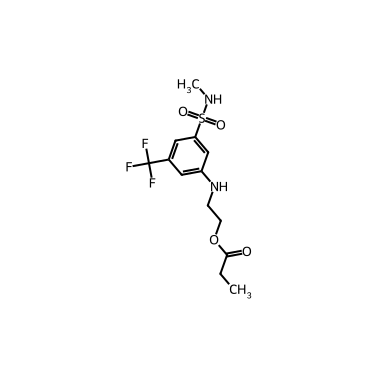 CCC(=O)OCCNc1cc(C(F)(F)F)cc(S(=O)(=O)NC)c1